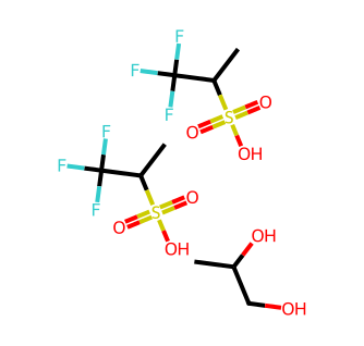 CC(C(F)(F)F)S(=O)(=O)O.CC(C(F)(F)F)S(=O)(=O)O.CC(O)CO